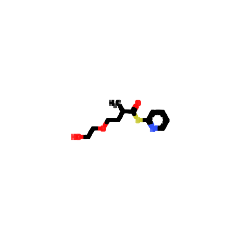 CC(CCOCCO)C(=O)Sc1ccccn1